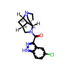 O=C(c1n[nH]c2ccc(Cl)cc12)N1C[C@@H]2C[C@@H]3N4CC[C@]23[C@@H]1C4